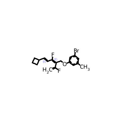 C=C(F)/C(COc1cc(C)cc(Br)c1)=C(F)\C=C\C1CCC1